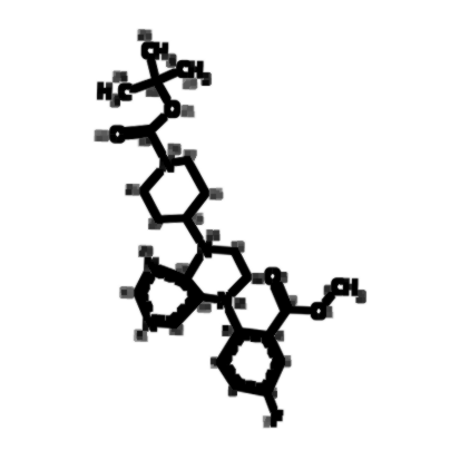 COC(=O)c1cc(F)ccc1N1CCN(C2CCN(C(=O)OC(C)(C)C)CC2)c2ncncc21